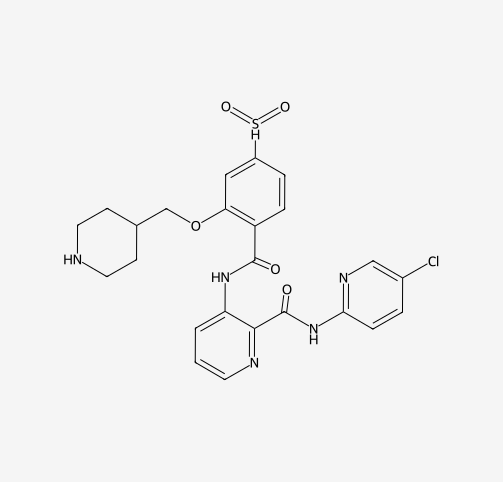 O=C(Nc1cccnc1C(=O)Nc1ccc(Cl)cn1)c1ccc([SH](=O)=O)cc1OCC1CCNCC1